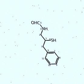 O=CNCC(S)Cc1ccccc1